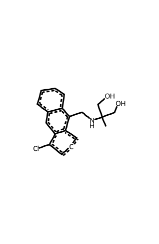 CC(CO)(CO)NCc1c2ccccc2cc2c(Cl)cccc12